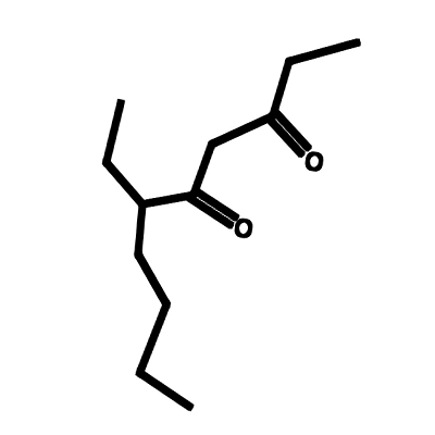 CCCCC(CC)C(=O)CC(=O)CC